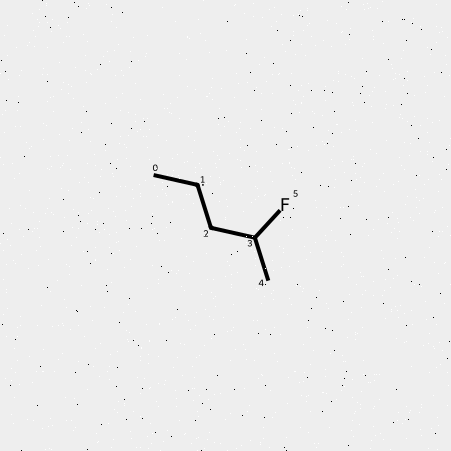 C[CH]CC(C)F